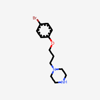 Brc1ccc(OCCCN2CCNCC2)cc1